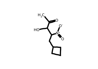 CC(=O)C(O)C(CC1CCC1)[N+](=O)[O-]